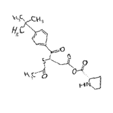 CC(=O)SC(CC(=O)OC(=O)[C@@H]1CCCN1)C(=O)c1ccc(C(C)(C)C)cc1